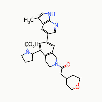 Cc1c[nH]c2ncc(-c3cc4c(c(C5CCCN5C(=O)O)c3)CCN(C(=O)CC3CCOCC3)C4)cc12